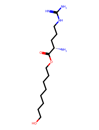 N=C(N)NCCC[C@H](N)C(=O)OCCCCCCCCO